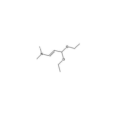 CCOC(C=CN(C)C)OCC